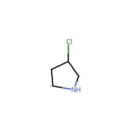 ClC1C[CH]NC1